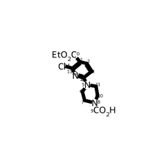 CCOC(=O)c1ccc(N2CCN(C(=O)O)CC2)nc1Cl